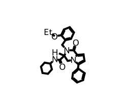 CCOc1ccccc1CN1C(=O)c2ccc(-c3ccccc3)n2CC1(C)C(=O)NC1CCCCC1